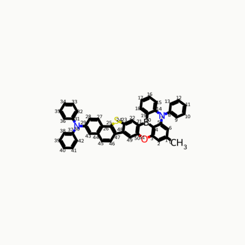 Cc1cc2c3c(c1)N(c1ccccc1)c1ccccc1B3c1cc3sc4c5ccc(N(c6ccccc6)c6ccccc6)cc5ccc4c3cc1O2